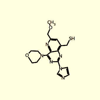 COCc1cc(CS)c2nc(-n3ccnc3)nc(N3CCOCC3)c2n1